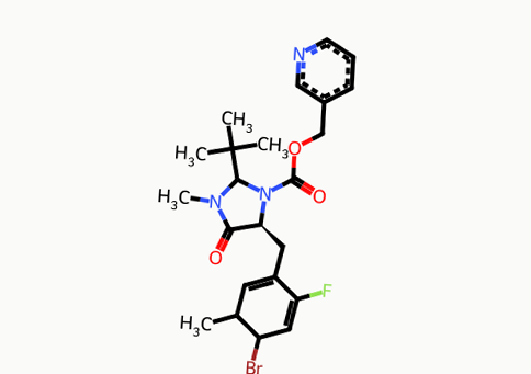 CC1C=C(C[C@H]2C(=O)N(C)C(C(C)(C)C)N2C(=O)OCc2cccnc2)C(F)=CC1Br